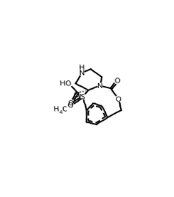 C.O=C1OCc2ccc(cc2)S(=O)(=O)[C@@]2(C(=O)O)CNCCN12